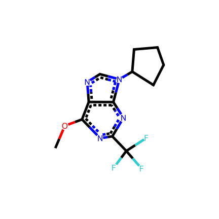 COc1nc(C(F)(F)F)nc2c1ncn2C1CCCC1